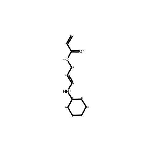 C=CC(=O)OCC=CNC1CCCCC1